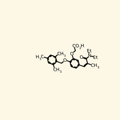 CCN(CC)C(=O)/C(C)=C\c1ccc(OCc2c(C)cc(C)cc2C)c(OCC(=O)O)c1